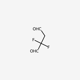 O=CCC(F)(F)C=O